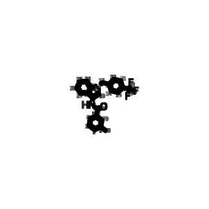 Cc1cccc(C(=O)Nc2cn(Cc3ccc(C(F)(F)F)cc3)c3ccccc23)c1